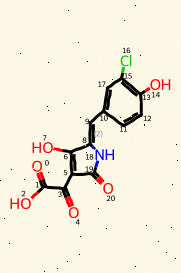 O=C(O)C(=O)C1=C(O)/C(=C/c2ccc(O)c(Cl)c2)NC1=O